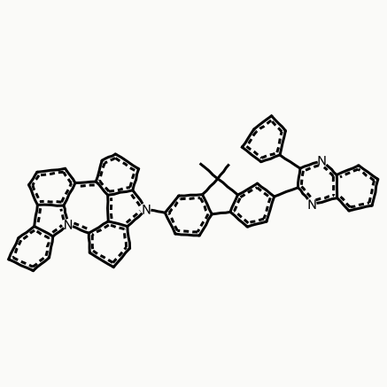 CC1(C)c2cc(-c3nc4ccccc4nc3-c3ccccc3)ccc2-c2ccc(-n3c4cccc5c6cccc7c8ccccc8n(c8cccc3c8c54)c67)cc21